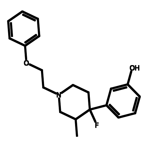 CC1CN(CCOc2ccccc2)CCC1(F)c1cccc(O)c1